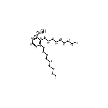 CCCCCCCCCc1cccc(SS)c1CCCCCCCCC